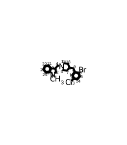 CN1CC(CN2CCC(Cc3cc(Cl)ccc3Br)CC2)c2ccccc21